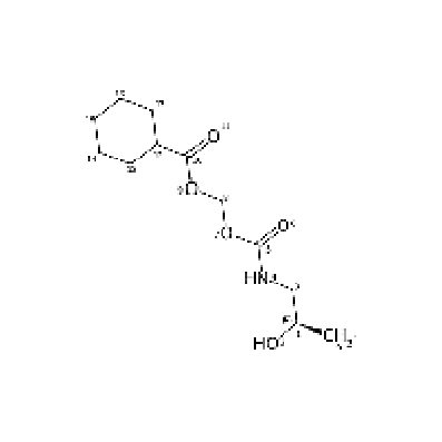 [CH2][C@@H](O)CNC(=O)OCOC(=O)C1CCCCC1